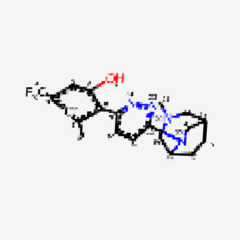 Cc1cc(C(F)(F)F)cc(O)c1-c1ccc(N2CC3CCC2CN(C)C3)nn1